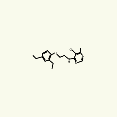 CCc1ccc(OCCNc2ncnc(C)c2Cl)c(CC)c1